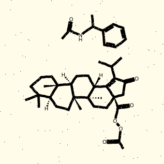 CC(=O)NC(C)c1ccccc1.CC(=O)OOC(=O)[C@@]12CC[C@]3(C)[C@H](CC[C@@H]4[C@@]5(C)CCCC(C)(C)[C@@H]5CC[C@]43C)C1=C(C(C)C)C(=O)C2